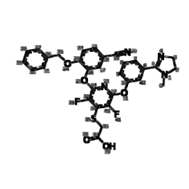 CN1CCN=C1c1cccc(Oc2nc(Oc3cc(C#N)ccc3OCc3ccccc3)c(F)c(SCC(=O)O)c2F)c1